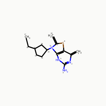 C=C1N=C(N)NC2=C1SC(=C)N2C1CCC(CC)C1